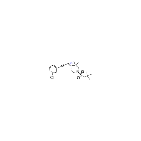 CC(C)(C)CS(=O)(=O)N1CC/C(=C\C#Cc2cccc(Cl)c2)C(C)(C)C1